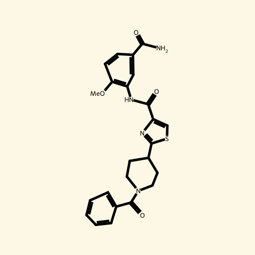 COc1ccc(C(N)=O)cc1NC(=O)c1csc(C2CCN(C(=O)c3ccccc3)CC2)n1